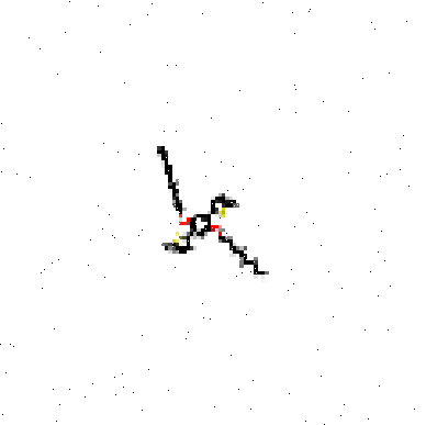 C#CC#CC#CC#COc1cc(-c2ccc(C)s2)c(OCCCCCCCC)cc1-c1ccc(C)s1